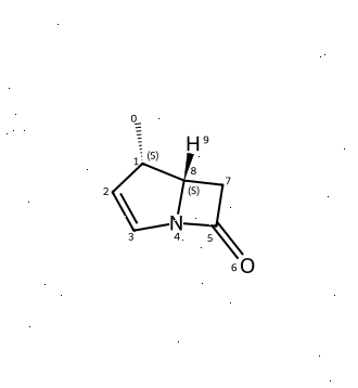 C[C@H]1C=CN2C(=O)C[C@@H]12